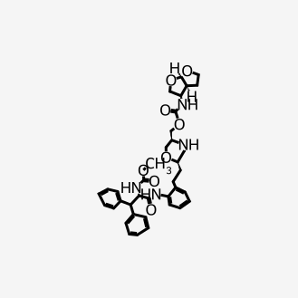 COC(=O)N[C@H](C(=O)Nc1ccccc1CC[C@@H]1CN[C@H](COC(=O)N[C@H]2CO[C@H]3OCC[C@H]32)CO1)C(c1ccccc1)c1ccccc1